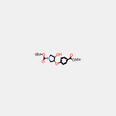 COC(=O)c1ccc(O[C@H]2CN(C(=O)OC(C)(C)C)C[C@H]2O)cc1